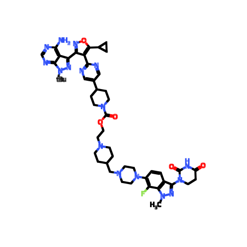 Cn1nc(N2CCC(=O)NC2=O)c2ccc(N3CCN(CC4CCN(CCOC(=O)N5CCC(c6cnc(-c7c(-c8nn(C(C)(C)C)c9ncnc(N)c89)noc7C7CC7)nc6)CC5)CC4)CC3)c(F)c21